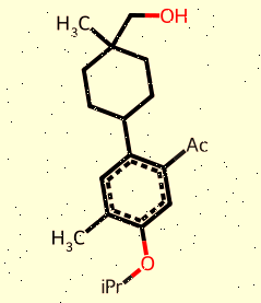 CC(=O)c1cc(OC(C)C)c(C)cc1C1CCC(C)(CO)CC1